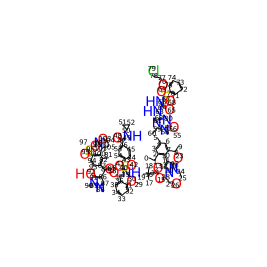 CCc1cc(C)cc(CC)c1-c1c(OC(=O)C(C)(C)C)n2n(c1=O)CCOCC2.COc1ccccc1C(=O)NS(=O)(=O)c1ccc(C(=O)NC2CC2)cc1.COc1nc(C)nc(NC(=O)NS(=O)(=O)c2ccccc2OCCCl)n1.Cc1c(C(=O)c2cnn(C)c2O)ccc(S(C)(=O)=O)c1C1=NOCC1